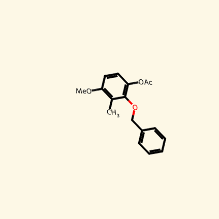 COc1ccc(OC(C)=O)c(OCc2ccccc2)c1C